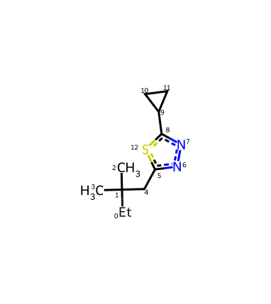 CCC(C)(C)Cc1nnc(C2CC2)s1